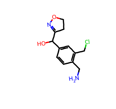 NCc1ccc(C(O)C2=NOCC2)cc1CCl